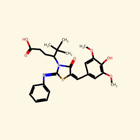 COc1cc(C=C2SC(=Nc3ccccc3)N(C(CCC(=O)O)C(C)(C)C)C2=O)cc(OC)c1O